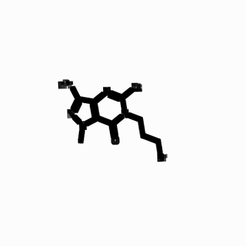 CCCc1nn(C)c2c(=O)n(CCCBr)c(CC)nc12